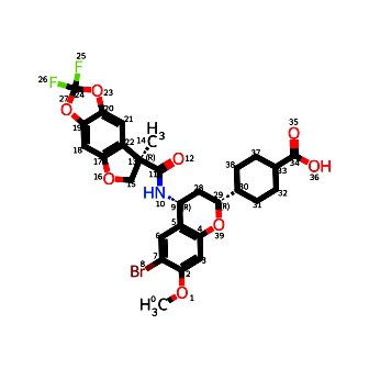 COc1cc2c(cc1Br)[C@H](NC(=O)[C@@]1(C)COc3cc4c(cc31)OC(F)(F)O4)C[C@H](C1CCC(C(=O)O)CC1)O2